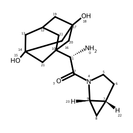 N[C@H](C(=O)N1CC[C@@H]2C[C@@H]21)C12CC3CC(O)(CC(O)(C3)C1)C2